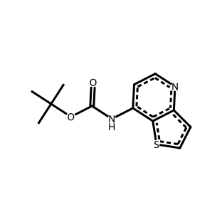 CC(C)(C)OC(=O)Nc1ccnc2ccsc12